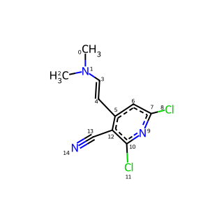 CN(C)C=Cc1cc(Cl)nc(Cl)c1C#N